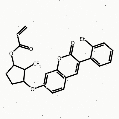 C=CC(=O)OC1CCC(Oc2ccc3cc(-c4ccccc4CC)c(=O)oc3c2)C1C(F)(F)F